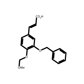 COCOc1ccc(C=CC(=O)O)cc1OCc1ccccc1